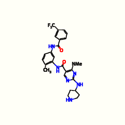 CNc1nc(NC2CCNCC2)ncc1C(=O)Nc1cc(NC(=O)c2cccc(C(F)(F)F)c2)ccc1C